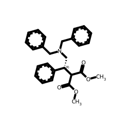 COC(=O)C(C(=O)OC)[C@@H](CN(Cc1ccccc1)Cc1ccccc1)c1ccccc1